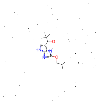 CC(C)COc1cnc2[nH]cc(C(=O)C(C)(C)C)c2n1